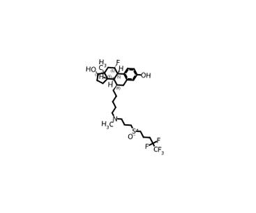 CN(CCCCC[C@@H]1Cc2cc(O)ccc2[C@@H]2[C@@H]1[C@@H]1CC[C@H](O)[C@@]1(C)C[C@@H]2F)CCC[S+]([O-])CCCC(F)(F)C(F)(F)F